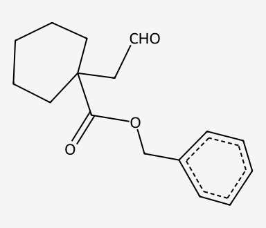 O=CCC1(C(=O)OCc2ccccc2)CCCCC1